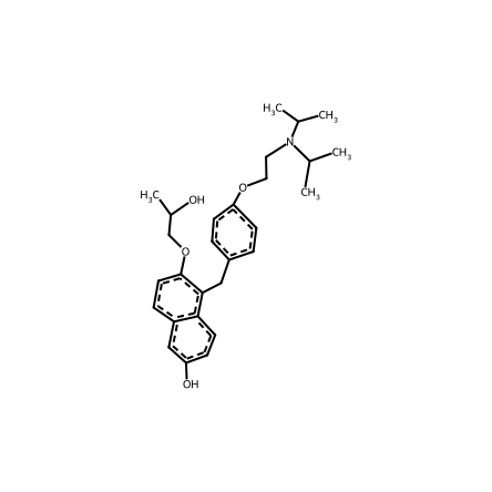 CC(O)COc1ccc2cc(O)ccc2c1Cc1ccc(OCCN(C(C)C)C(C)C)cc1